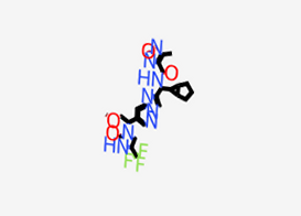 COCC(c1cnn2cc(C(NC(=O)c3nonc3C)C3C4CCCC43)nc2c1)N1CC(C(F)(F)F)NC1=O